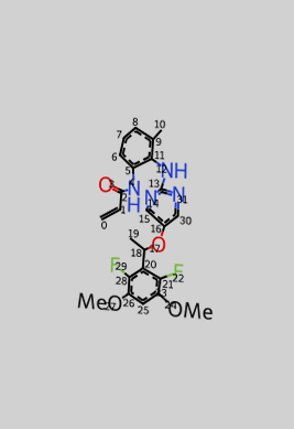 C=CC(=O)Nc1cccc(C)c1Nc1ncc(OC(C)c2c(F)c(OC)cc(OC)c2F)cn1